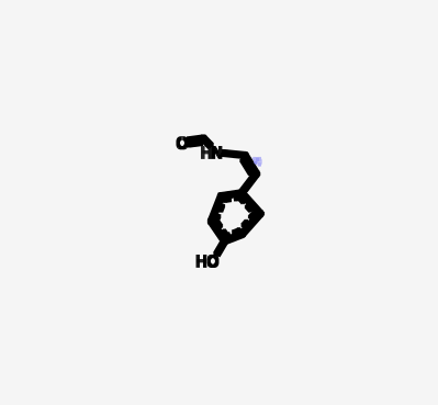 O=CN/C=C\c1ccc(O)cc1